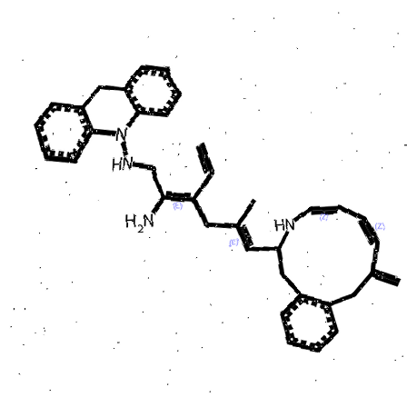 C=C/C(C/C(C)=C/C1Cc2ccccc2CC(=C)/C=C\C=C/N1)=C(/N)CNN1c2ccccc2Cc2ccccc21